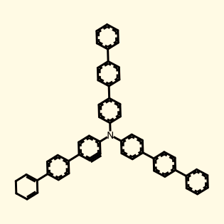 c1c(-c2ccc(C3=CCCC=C3)cc2)ccc(N(c2ccc(-c3ccc(-c4ccccc4)cc3)cc2)c2ccc(-c3ccc(-c4ccccc4)cc3)cc2)c#1